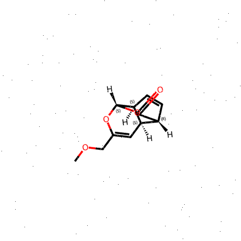 COCC1=C[C@H]2[C@@H]3C=C[C@H]2C(=O)O[C@@H]3O1